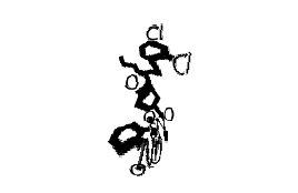 CCCc1oc2ccc(C(=O)N(CC)S(=O)(=O)c3ccccc3[N+](=O)[O-])cc2c1Cc1ccc(Cl)cc1Cl